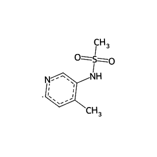 Cc1c[c]ncc1NS(C)(=O)=O